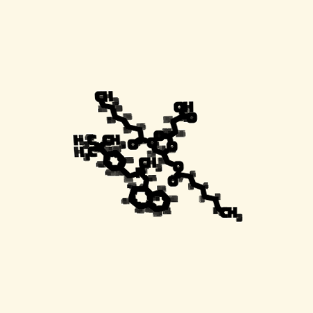 CCCCCCCC(=O)OCC(COC(=O)CCCCCCC)OC(=O)CCC(=O)O.CN(Cc1ccc(C(C)(C)C)cc1)Cc1cccc2ccccc12